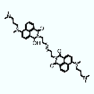 CN(C)CCCN(C)c1ccc2c3c(cccc13)C(=O)N(CCSSCCN1C(=O)c3cccc4c(N(C)CCCN(C)C)ccc(c34)C1O)C2=O